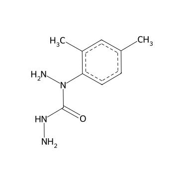 Cc1ccc(N(N)C(=O)NN)c(C)c1